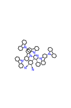 N#Cc1ccc(-c2c(-c3ccccc3)c(-n3c4ccccc4c4cc(-n5c6ccccc6c6ccccc65)ccc43)nc(-n3c4ccccc4c4cc(-n5c6ccccc6c6ccccc65)ccc43)c2-n2c3ccccc3c3cc(-n4c5ccccc5c5ccccc54)ccc32)cc1C#N